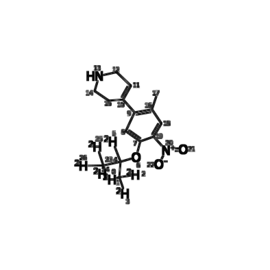 [2H]C([2H])([2H])C([2H])(Oc1cc(C2=CCNCC2)c(C)cc1[N+](=O)[O-])C([2H])([2H])[2H]